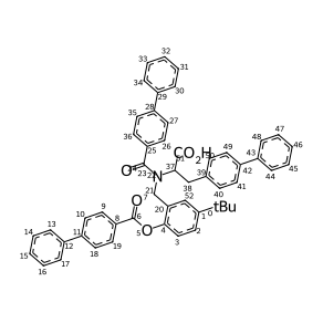 CC(C)(C)c1ccc(OC(=O)c2ccc(-c3ccccc3)cc2)c(CN(C(=O)c2ccc(-c3ccccc3)cc2)C(Cc2ccc(-c3ccccc3)cc2)C(=O)O)c1